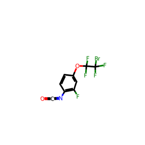 O=C=Nc1ccc(OC(F)(F)C(F)(F)Br)cc1F